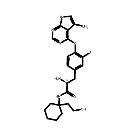 Cc1c[nH]c2ncnc(Oc3ccc(C[C@H](N)C(=O)NC4(CCO)CCCCC4)cc3F)c12